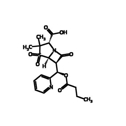 CCCC(=O)O[C@@H](c1ccccn1)[C@@H]1C(=O)N2[C@@H](C(=O)O)C(C)(C)S(=O)(=O)[C@H]12